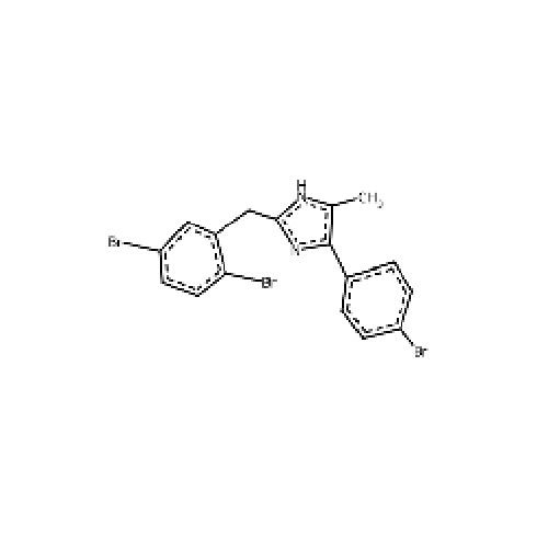 Cc1[nH]c(Cc2cc(Br)ccc2Br)nc1-c1ccc(Br)cc1